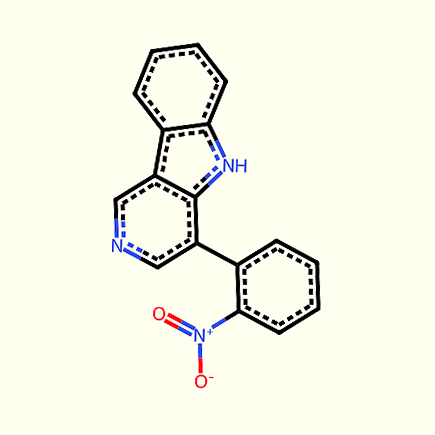 O=[N+]([O-])c1ccccc1-c1cncc2c1[nH]c1ccccc12